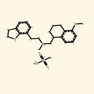 COc1cccc2c1CCCC2CN(C)CCc1cccc2c1OCC2.CS(=O)(=O)O